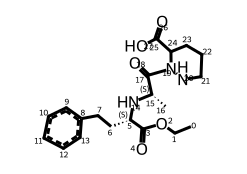 CCOC(=O)[C@H](CCc1ccccc1)N[C@@H](C)C(=O)N1NCCCC1C(=O)O